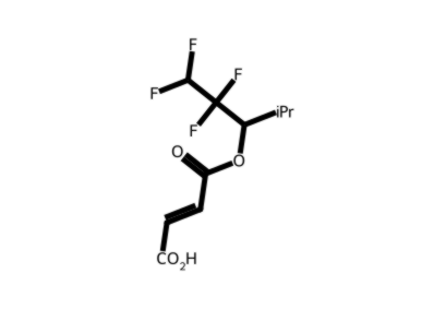 CC(C)C(OC(=O)C=CC(=O)O)C(F)(F)C(F)F